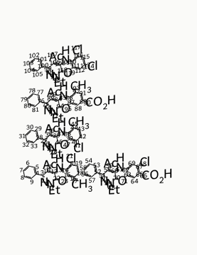 CCn1nc(-c2ccccc2)c(C(C)=O)c(Nc2cc(C)ccc2Cl)c1=O.CCn1nc(-c2ccccc2)c(C(C)=O)c(Nc2cc(Cl)ccc2C)c1=O.CCn1nc(-c2ccccc2)c(C(C)=O)c(Nc2ccc(C(=O)O)c(Cl)c2)c1=O.CCn1nc(-c2ccccc2)c(C(C)=O)c(Nc2ccc(C(=O)O)cc2C)c1=O.CCn1nc(-c2ccccc2)c(C(C)=O)c(Nc2ccc(Cl)cc2Cl)c1=O